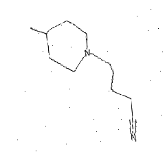 CC1CCN(CCCC#N)CC1